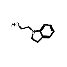 OCCN1CCc2ccccc21